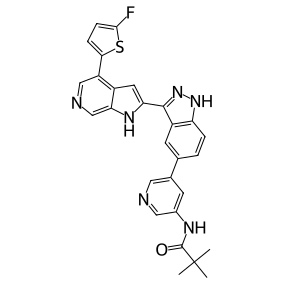 CC(C)(C)C(=O)Nc1cncc(-c2ccc3[nH]nc(-c4cc5c(-c6ccc(F)s6)cncc5[nH]4)c3c2)c1